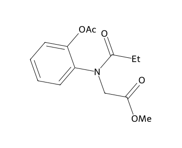 CCC(=O)N(CC(=O)OC)c1ccccc1OC(C)=O